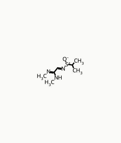 C/N=C(/C=N/[S+]([O-])C(C)C)NC